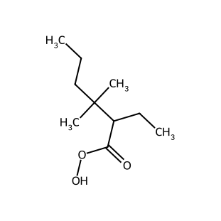 CCCC(C)(C)C(CC)C(=O)OO